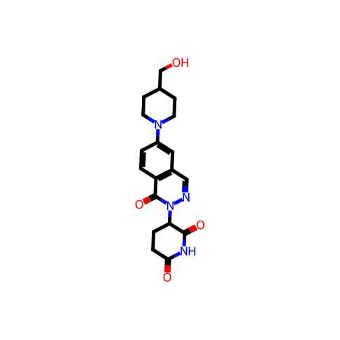 O=C1CCC(n2ncc3cc(N4CCC(CO)CC4)ccc3c2=O)C(=O)N1